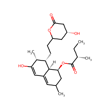 CC[C@H](C)C(=O)O[C@H]1CC(C)C=C2C=C(O)[C@H](C)[C@H](CCC3C[C@@H](O)CC(=O)O3)[C@H]21